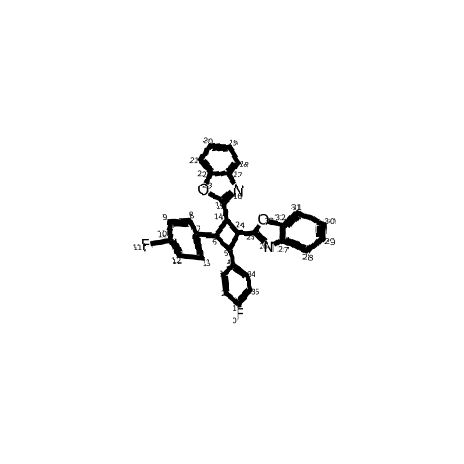 Fc1ccc(C2C(c3ccc(F)cc3)C(c3nc4ccccc4o3)C2c2nc3ccccc3o2)cc1